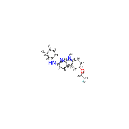 Cc1ccc(Nc2ccc3c4c(n(C)c3n2)CCC(OCCF)C4)cc1C